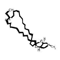 CCC/C=C\CCCCCCCCC1(CCCCCCCC/C=C\CCC)CCC2(C1)O[C@H]1CN(C)C[C@H]1O2